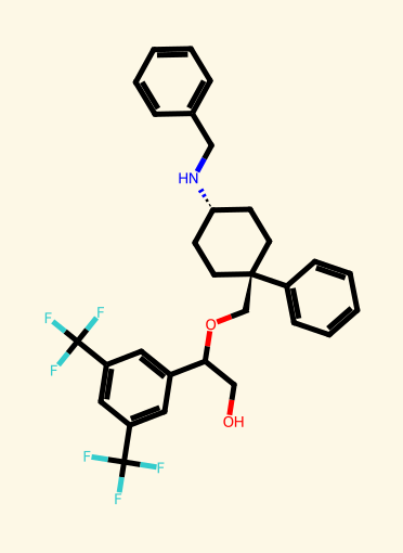 OCC(OC[C@]1(c2ccccc2)CC[C@@H](NCc2ccccc2)CC1)c1cc(C(F)(F)F)cc(C(F)(F)F)c1